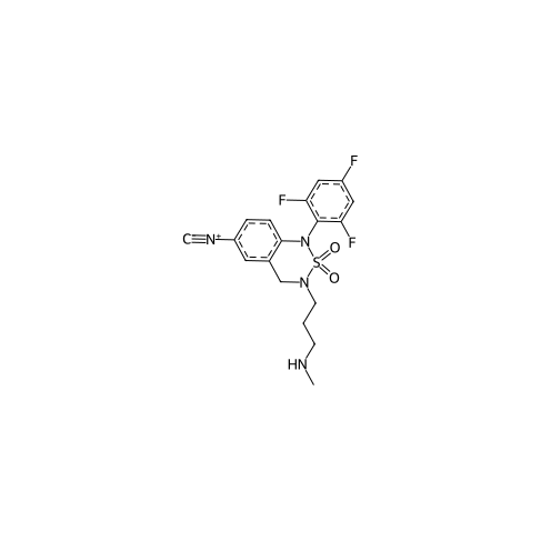 [C-]#[N+]c1ccc2c(c1)CN(CCCNC)S(=O)(=O)N2c1c(F)cc(F)cc1F